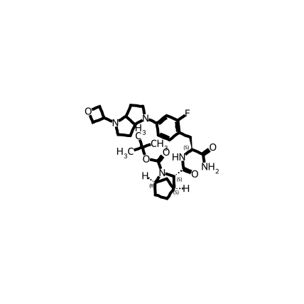 CC(C)(C)OC(=O)N1[C@@H]2CC[C@@H](C2)[C@H]1C(=O)N[C@@H](Cc1ccc(N2CCC3C2CCN3C2COC2)cc1F)C(N)=O